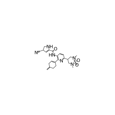 C=C1CC=C(c2nc(C3CN(C)S(=O)(=O)N(C)C3)ccc2NC(=O)C2=CC(C#N)CN2)CC1